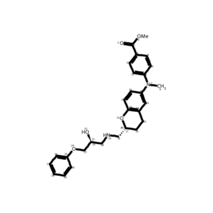 COC(=O)c1ccc(N(C)c2ccc3c(c2)CC[C@H](CNC[C@H](O)COc2ccccc2)O3)cc1